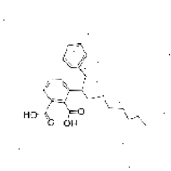 CCCCCCCC(Cc1ccccc1)c1cccc(C(=O)O)c1C(=O)O